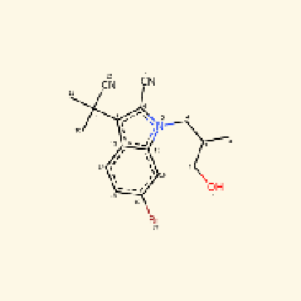 CC(CO)Cn1c(C#N)c(C(C)(C)C#N)c2ccc(Br)cc21